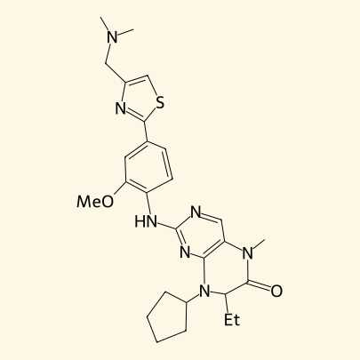 CCC1C(=O)N(C)c2cnc(Nc3ccc(-c4nc(CN(C)C)cs4)cc3OC)nc2N1C1CCCC1